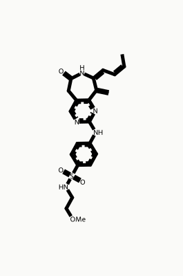 C=C1/C(=C\C=C/C)NC(=O)Cc2cnc(Nc3ccc(S(=O)(=O)NCCOC)cc3)nc21